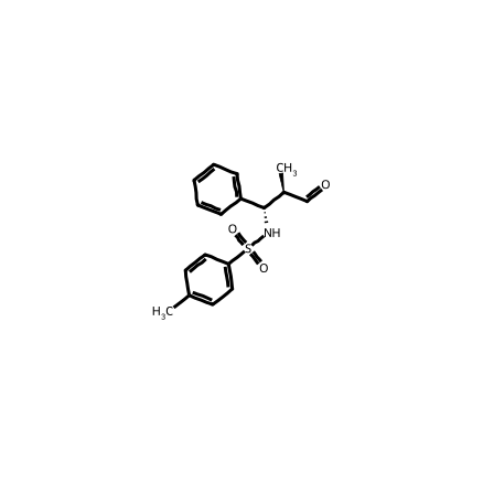 Cc1ccc(S(=O)(=O)N[C@H](c2ccccc2)[C@@H](C)C=O)cc1